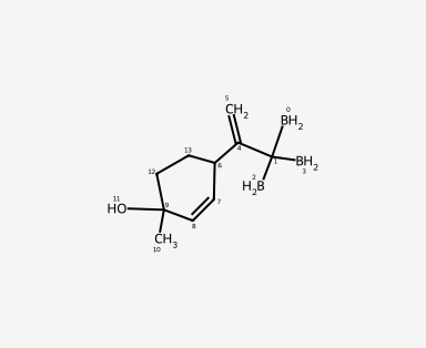 BC(B)(B)C(=C)C1C=CC(C)(O)CC1